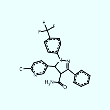 NC(=O)C1C(c2ccccc2)=NN(c2ccc(C(F)(F)F)cc2)C1c1ccc(Cl)nc1